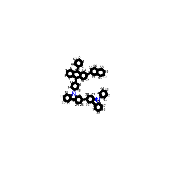 c1ccc(-c2c3ccccc3c(-c3ccc(-n4c5ccccc5c5ccc(-c6ccc7c(c6)c6ccccc6n7-c6ccccc6)cc54)cc3)c3ccc(-c4ccc5ccccc5c4)cc23)cc1